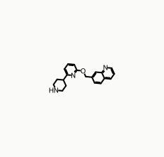 c1cc(OCc2ccc3cccnc3c2)nc(C2CCNCC2)c1